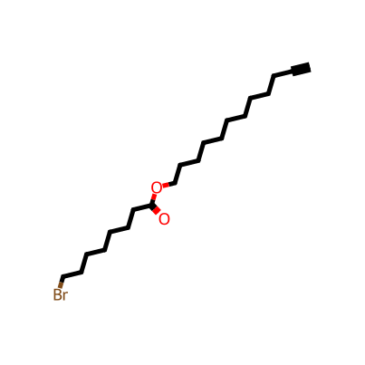 C#CCCCCCCCCCCOC(=O)CCCCCCCBr